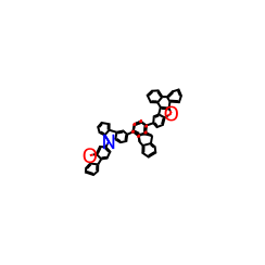 c1ccc2c(c1)C1c3ccccc3C2c2c(-c3ccc4c(c3)c3ccccc3n4-c3ccc4c(c3)oc3ccccc34)ccc(-c3ccc4oc5c6ccccc6c6ccccc6c5c4c3)c21